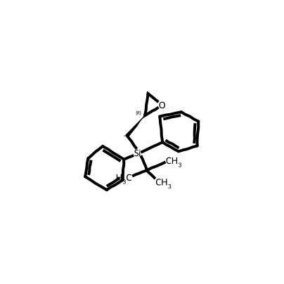 CC(C)(C)[Si]([CH][C@H]1CO1)(c1ccccc1)c1ccccc1